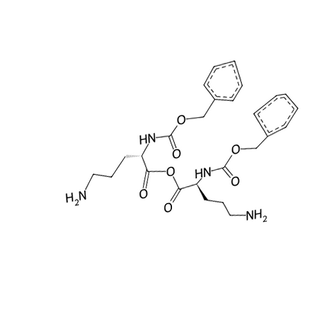 NCCC[C@H](NC(=O)OCc1ccccc1)C(=O)OC(=O)[C@H](CCCN)NC(=O)OCc1ccccc1